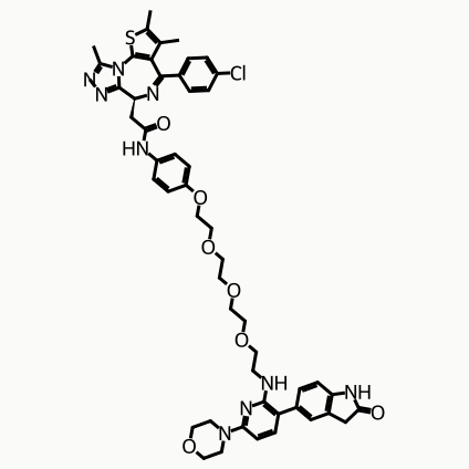 Cc1sc2c(c1C)C(c1ccc(Cl)cc1)=N[C@@H](CC(=O)Nc1ccc(OCCOCCOCCOCCNc3nc(N4CCOCC4)ccc3-c3ccc4c(c3)CC(=O)N4)cc1)c1nnc(C)n1-2